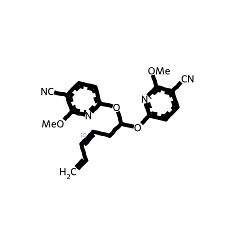 C=C/C=C\CC(Oc1ccc(C#N)c(OC)n1)Oc1ccc(C#N)c(OC)n1